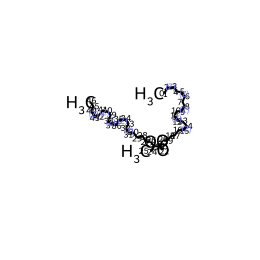 CC/C=C\C/C=C\C/C=C\C/C=C\C/C=C\CCCCOC(=O)C(CC)OCCCC/C=C\C/C=C\C/C=C\C/C=C\C/C=C\CC